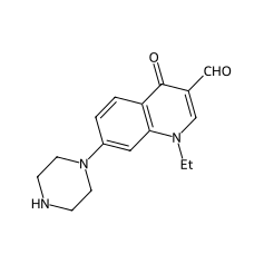 CCn1cc(C=O)c(=O)c2ccc(N3CCNCC3)cc21